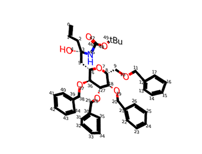 C=CC[C@](O)(C[C@@H]1O[C@H](COCc2ccccc2)[C@H](OCc2ccccc2)[C@H](OCc2ccccc2)[C@H]1OCc1ccccc1)NC(=O)OC(C)(C)C